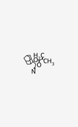 C=C(C)C(=O)OC1(CC#N)C2CC3CC(C2)CC1C3